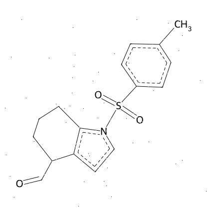 Cc1ccc(S(=O)(=O)n2ccc3c2CCCC3C=O)cc1